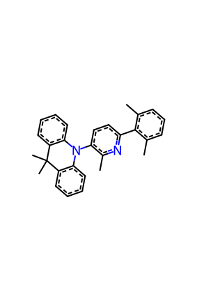 Cc1cccc(C)c1-c1ccc(N2c3ccccc3C(C)(C)c3ccccc32)c(C)n1